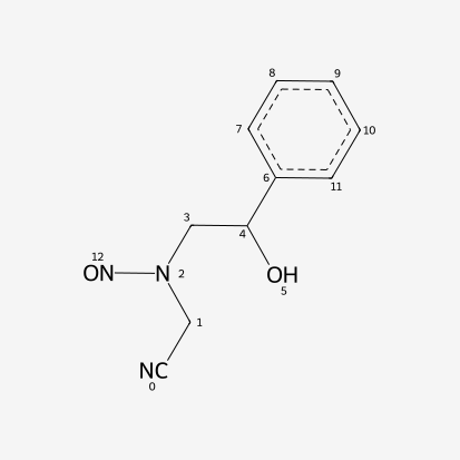 N#CCN(CC(O)c1ccccc1)N=O